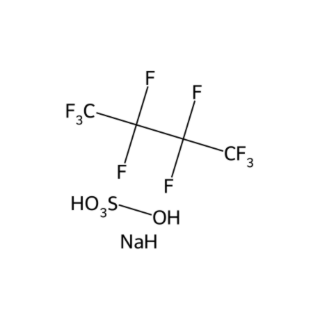 FC(F)(F)C(F)(F)C(F)(F)C(F)(F)F.O=S(=O)(O)O.[NaH]